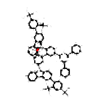 FC(F)(F)c1ccc(-c2ccc3c(c2)c2ccccc2n3-c2ccc(C(F)(F)F)c(-c3cc(-c4nc(-c5ccccc5)nc(-c5ccccc5)n4)ccc3-n3c4ccccc4c4cc(-c5ccc(C(F)(F)F)cc5C(F)(F)F)ccc43)c2)c(C(F)(F)F)c1